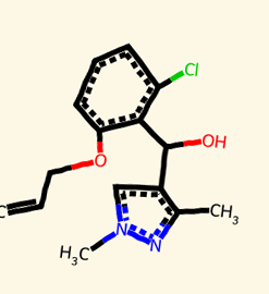 C=CCOc1cccc(Cl)c1C(O)c1cn(C)nc1C